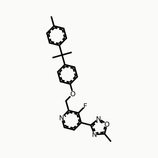 Cc1ccc(C(C)(C)c2ccc(OCc3nccc(-c4noc(C)n4)c3F)cc2)cc1